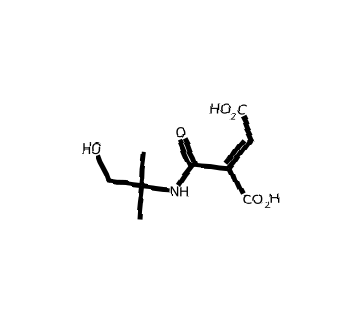 CC(C)(CO)NC(=O)/C(=C\C(=O)O)C(=O)O